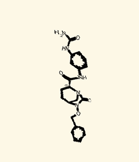 NC(=O)Nc1cccc(NC(=O)[C@@H]2CCC3CN2C(=O)N3OCc2ccccc2)c1